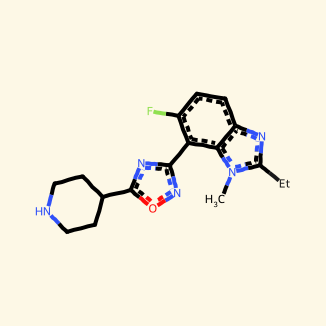 CCc1nc2ccc(F)c(-c3noc(C4CCNCC4)n3)c2n1C